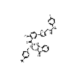 Cc1ccc([C@@H](C)NCc2ccc(-c3ccc(Cl)c(C(=O)N[C@H](Cc4ccc(C#N)cc4)CN4C(=O)c5ccccc5C4=O)c3)o2)cc1